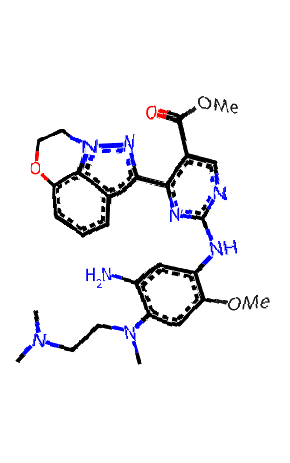 COC(=O)c1cnc(Nc2cc(N)c(N(C)CCN(C)C)cc2OC)nc1-c1nn2c3c(cccc13)OCC2